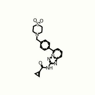 O=C(Nc1nc2cccc(-c3ccc(CN4CCS(=O)(=O)CC4)cc3)n2n1)C1=CC1